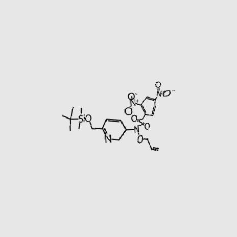 C=CCON(C1C=CC(CO[Si](C)(C)C(C)(C)C)=NC1)S(=O)(=O)c1ccc([N+](=O)[O-])cc1[N+](=O)[O-]